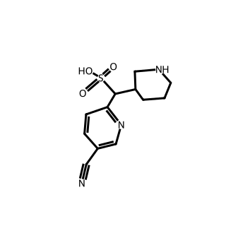 N#Cc1ccc(C(C2CCCNC2)S(=O)(=O)O)nc1